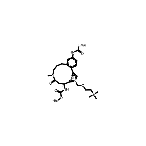 COC(=O)Nc1ccc2c(c1)CCCN(C)C(=O)C[C@H](NC(=O)OC(C)(C)C)c1nc-2cn1COCC[Si](C)(C)C